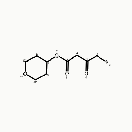 O=C(CF)CC(=O)OC1CCOCC1